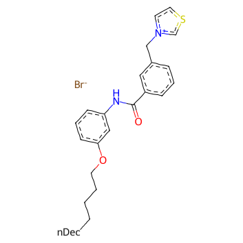 CCCCCCCCCCCCCCOc1cccc(NC(=O)c2cccc(C[n+]3ccsc3)c2)c1.[Br-]